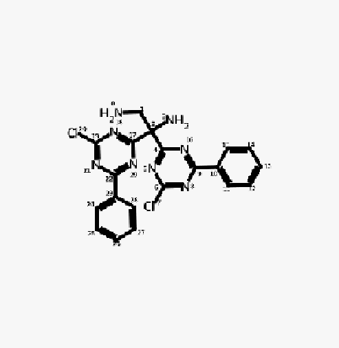 NCC(N)(c1nc(Cl)nc(-c2ccccc2)n1)c1nc(Cl)nc(-c2ccccc2)n1